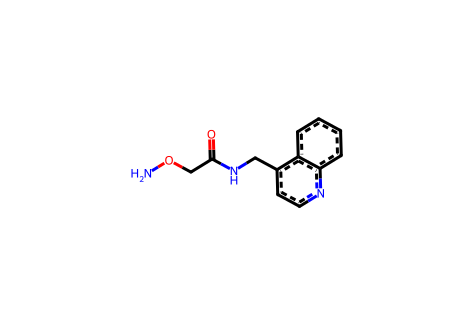 NOCC(=O)NCc1ccnc2ccccc12